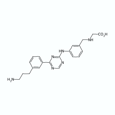 NCCCc1cccc(-c2ncnc(Nc3cccc(CNCC(=O)O)c3)n2)c1